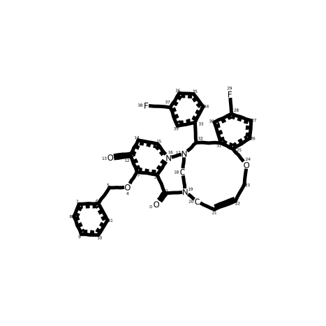 O=C1c2c(OCc3ccccc3)c(=O)ccn2N2CN1C/C=C\COc1ccc(F)cc1C2c1cccc(F)c1